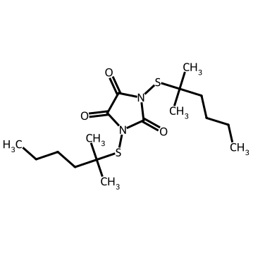 CCCCC(C)(C)SN1C(=O)C(=O)N(SC(C)(C)CCCC)C1=O